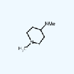 CNC1C[CH]N(C)CC1